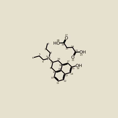 CCCN(CCC)C1Cc2cccc3cc(O)cc(c23)C1.O=C(O)CCC(=O)O